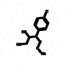 CC(C)(C)OOC(c1ccc(Cl)cc1)C(O)CO